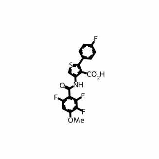 COc1cc(F)c(C(=O)Nc2csc(-c3ccc(F)cc3)c2C(=O)O)c(F)c1F